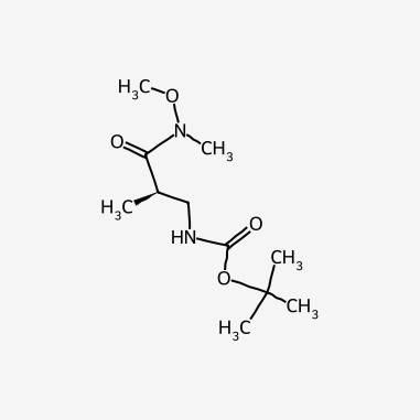 CON(C)C(=O)[C@H](C)CNC(=O)OC(C)(C)C